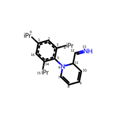 CC(C)c1cc(C(C)C)c(N2C=CC=CC2C=N)c(C(C)C)c1